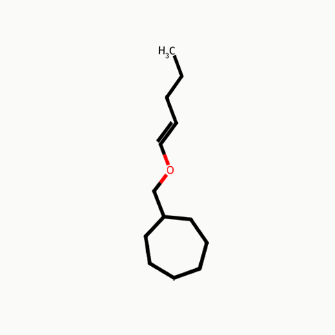 CCCC=COCC1CC[CH]CCC1